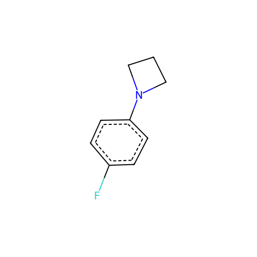 Fc1ccc(N2CCC2)cc1